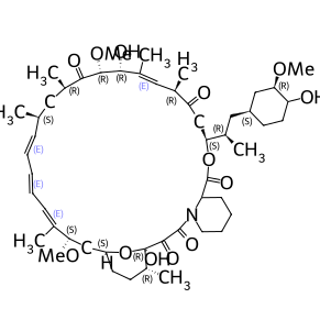 CO[C@H]1C[C@@H]2CC[C@@H](C)[C@@](O)(O2)C(=O)C(=O)N2CCCCC2C(=O)O[C@H]([C@H](C)C[C@@H]2CCC(O)[C@H](OC)C2)CC(=O)[C@H](C)/C=C(\C)[C@@H](O)[C@@H](OC)C(=O)[C@H](C)C[C@H](C)/C=C/C=C/C=C/1C